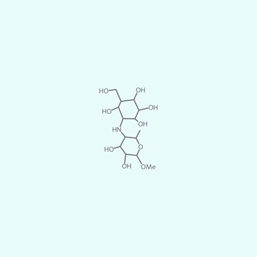 COC1OC(C)C(NC2C(O)C(O)C(O)C(CO)C2O)C(O)C1O